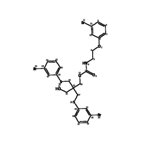 O=C(NCCOc1cccc(Br)c1)OCC(CO)(CSc1cccc(Br)c1)CSc1cccc(Br)c1